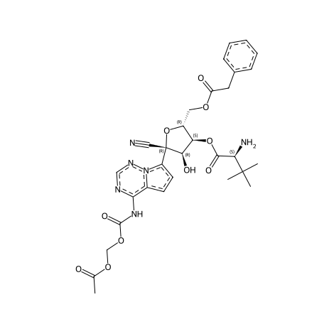 CC(=O)OCOC(=O)Nc1ncnn2c([C@]3(C#N)O[C@H](COC(=O)Cc4ccccc4)[C@@H](OC(=O)[C@@H](N)C(C)(C)C)[C@H]3O)ccc12